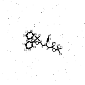 CC#CC(CCO[Si](c1ccccc1)(c1ccccc1)C(C)(C)C)CC(=O)OC(C)(C)C